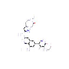 Cc1c(-c2cc3cc(Nc4cc5n(n4)CC(=O)N(C(C)C)CC5)ncc3c(N)c2F)cnc2c1NCCO2